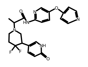 CC(C(=O)Nc1ccc(Oc2ccncc2)cn1)N1CCC(F)(F)C(c2ccc(=O)[nH]c2)C1